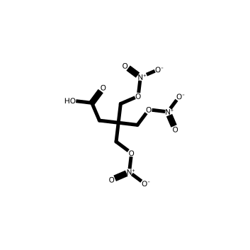 O=C(O)CC(CO[N+](=O)[O-])(CO[N+](=O)[O-])CO[N+](=O)[O-]